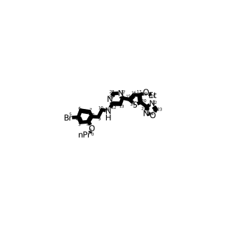 CCCOc1cc(Br)ccc1CCNc1cc(-c2cc(OCC)c(-c3ncon3)s2)ncn1